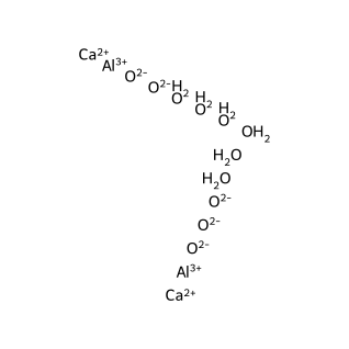 O.O.O.O.O.O.[Al+3].[Al+3].[Ca+2].[Ca+2].[O-2].[O-2].[O-2].[O-2].[O-2]